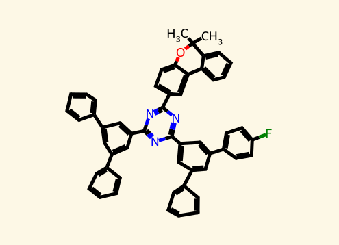 CC1(C)Oc2ccc(-c3nc(-c4cc(-c5ccccc5)cc(-c5ccccc5)c4)nc(-c4cc(-c5ccccc5)cc(-c5ccc(F)cc5)c4)n3)cc2-c2ccccc21